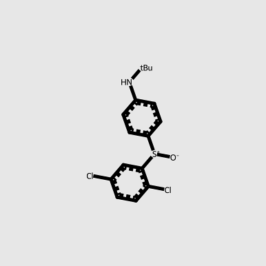 CC(C)(C)Nc1ccc([S+]([O-])c2cc(Cl)ccc2Cl)cc1